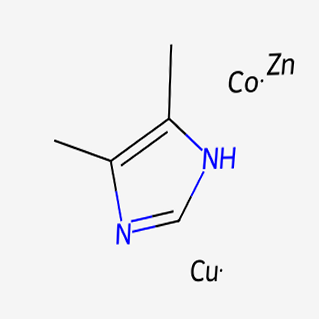 Cc1nc[nH]c1C.[Co].[Cu].[Zn]